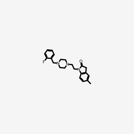 Cc1ccc2c(c1)CC(=O)N2CCN1CCN(Cc2ccccc2F)CC1